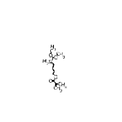 C=C(C)C(=O)OCCCC[SiH2]C(OC)OC